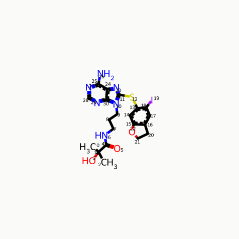 CC(C)(O)C(=O)NCCCn1c(Sc2cc3c(cc2I)CCO3)nc2c(N)ncnc21